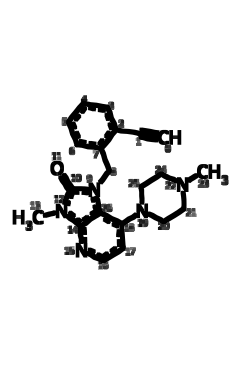 C#Cc1ccccc1Cn1c(=O)n(C)c2nccc(N3CCN(C)CC3)c21